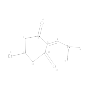 CCC1CC(=O)C(=CN(C)C)C(=O)C1